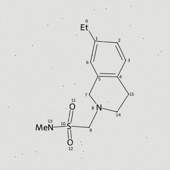 CCc1ccc2c(c1)CN(CS(=O)(=O)NC)CC2